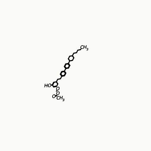 CCCCCC1CCC(c2ccc(-c3ccc(CCC4C=C(O)C=C(OCOC(C)=O)C4)cc3)cc2)CC1